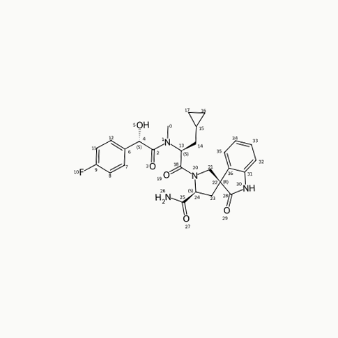 CN(C(=O)[C@@H](O)c1ccc(F)cc1)[C@@H](CC1CC1)C(=O)N1C[C@]2(C[C@H]1C(N)=O)C(=O)Nc1ccccc12